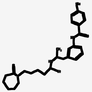 CCC(CCCCN1CCCCCC1=O)NC(C)Cc1cccc(NC(=O)c2ccc(C(C)(C)C)cc2)c1